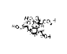 O=C(O)CC(O)(CC(=O)O)C(=O)O.O=S(=O)(O)CCN1CCN(CCO)CC1